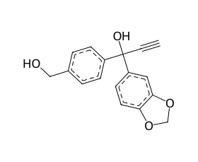 C#CC(O)(c1ccc(CO)cc1)c1ccc2c(c1)OCO2